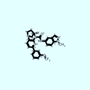 Cn1ncc2cc(NC(=O)N3c4nc(-c5cccc(OC(F)(F)F)c5)ccc4N4CC[C@H]3C4)ccc21